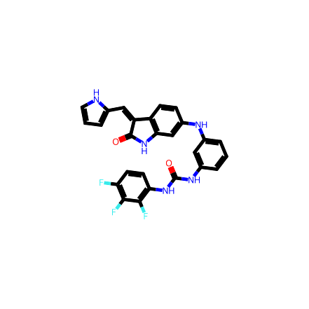 O=C(Nc1cccc(Nc2ccc3c(c2)NC(=O)C3=Cc2ccc[nH]2)c1)Nc1ccc(F)c(F)c1F